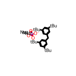 CC(C)(C)c1cc(Cc2cc(C(C)(C)C)cc(C(C)(C)C)c2)cc(C(C)(C)C)c1.O=P([O-])([O-])[O-].[Na+].[Na+].[Na+]